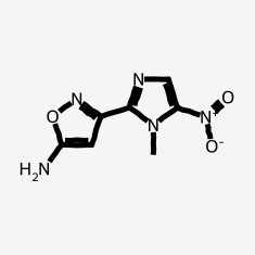 Cn1c([N+](=O)[O-])cnc1-c1cc(N)on1